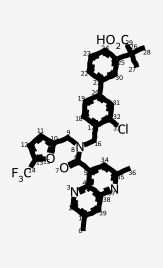 Cc1cnc2c(C(=O)N(Cc3ccc(C(F)(F)F)o3)Cc3ccc(-c4cccc(C(C)(C)C(=O)O)c4)cc3Cl)cc(C)nc2c1